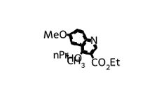 CCCC.CCOC(=O)c1cnc2ccc(OC)cc2c1O